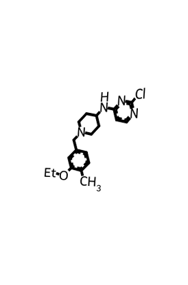 CCOc1cc(CN2CCC(Nc3ccnc(Cl)n3)CC2)ccc1C